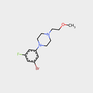 COCCN1CCN(c2cc(F)cc(Br)c2)CC1